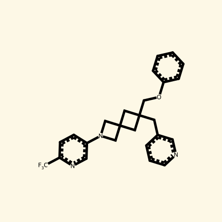 FC(F)(F)c1ccc(N2CC3(C2)CC(COc2ccccc2)(Cc2cccnc2)C3)cn1